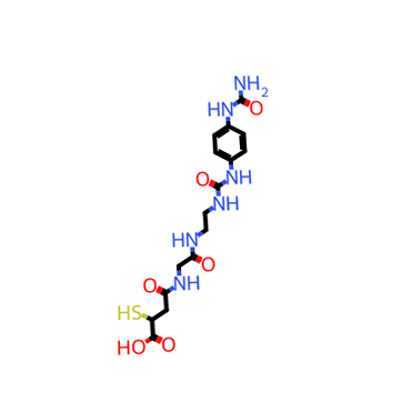 NC(=O)Nc1ccc(NC(=O)NCCNC(=O)CNC(=O)CC(S)C(=O)O)cc1